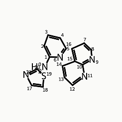 Nc1ccccn1.c1cnc2ncccc2c1.c1cscn1